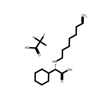 C=CCCCCCCN[C@H](C(=O)O)C1CCCCC1.O=C(O)C(F)(F)F